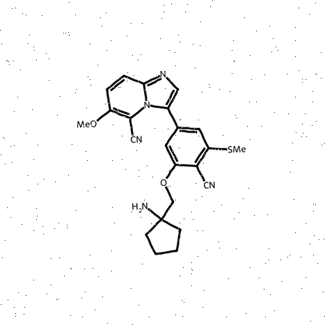 COc1ccc2ncc(-c3cc(OCC4(N)CCCC4)c(C#N)c(SC)c3)n2c1C#N